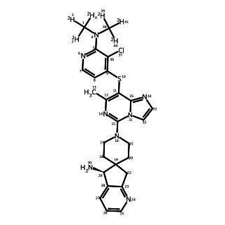 [2H]C([2H])([2H])N(c1nccc(Sc2c(C)nc(N3CCC4(CC3)Cc3ncccc3[C@H]4N)n3ccnc23)c1Cl)C([2H])([2H])[2H]